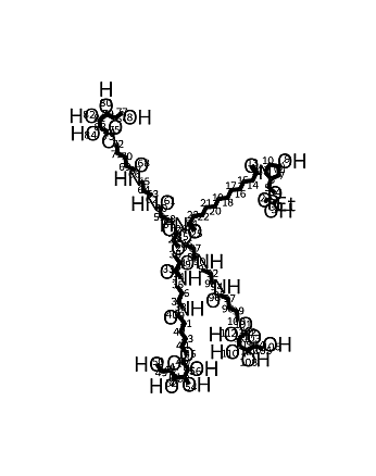 CCP(=O)(O)OCC1C[C@@H](O)CN1C(=O)CCCCCCCCCCC(=O)NC(COCCC(=O)NCCCNC(=O)CCCCO[C@@H]1OC(CO)[C@H](O)C(O)C1O)(OCCC(=O)NCCCNC(=O)CCCCO[C@@H]1OC(CO)[C@H](O)C(O)C1O)OCCC(=O)NCCCNC(=O)CCCCO[C@@H]1OC(CO)[C@H](O)C(O)C1O